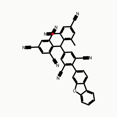 Cc1cc(C#N)cc(C#N)c1C(c1cc(C#N)c(-c2ccc3c(c2)oc2ccccc23)c(C#N)c1)c1c(C#N)cc(C#N)cc1C#N